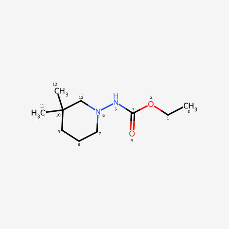 CCOC(=O)NN1CCCC(C)(C)C1